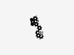 C1=CC(c2cccc(-c3ccc4c(c3)Oc3ccccc3C43c4ccccc4-c4ccccc43)c2)Nc2c1ccc1cccnc21